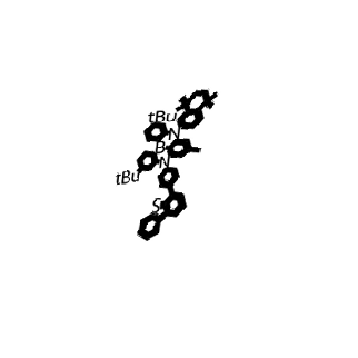 Cc1cc2c3c(c1)N(c1ccc4c(c1)C(C)(C)CCC4(C)C)c1cc(C(C)(C)C)ccc1B3c1ccc(C(C)(C)C)cc1N2c1ccc(-c2cccc3c2sc2ccccc23)cc1